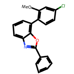 COc1cc(Cl)ccc1-c1cccc2nc(-c3ccccc3)oc12